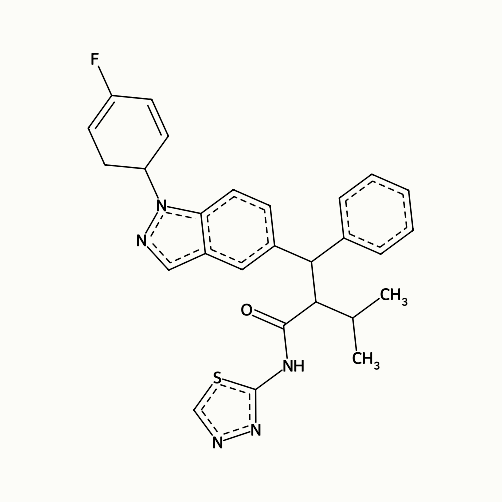 CC(C)C(C(=O)Nc1nncs1)C(c1ccccc1)c1ccc2c(cnn2C2C=CC(F)=CC2)c1